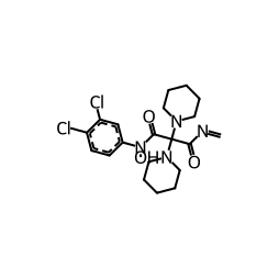 C=NC(=O)C(C(=O)N(O)c1ccc(Cl)c(Cl)c1)(N1CCCCC1)N1CCCCC1